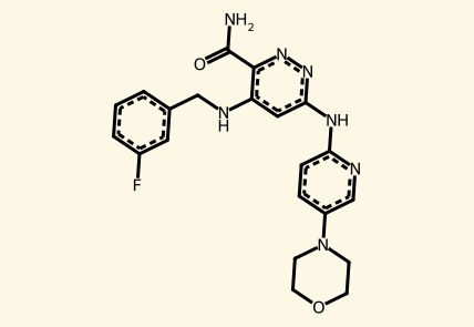 NC(=O)c1nnc(Nc2ccc(N3CCOCC3)cn2)cc1NCc1cccc(F)c1